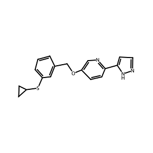 c1cc(COc2ccc(-c3ccn[nH]3)nc2)cc(SC2CC2)c1